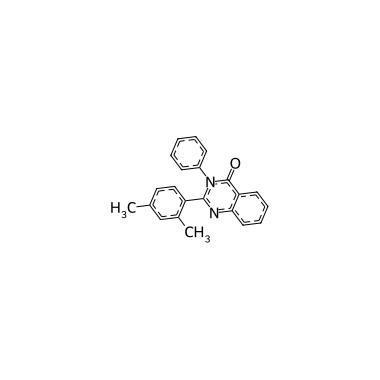 Cc1ccc(-c2nc3ccccc3c(=O)n2-c2ccccc2)c(C)c1